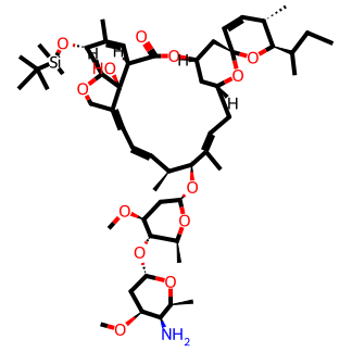 CCC(C)[C@H]1O[C@]2(C=C[C@@H]1C)C[C@@H]1C[C@@H](C/C=C(\C)[C@@H](O[C@H]3C[C@H](OC)[C@@H](O[C@H]4C[C@H](OC)[C@H](N)[C@H](C)O4)[C@H](C)O3)[C@@H](C)/C=C/C=C3\CO[C@@H]4[C@H](O[Si](C)(C)C(C)(C)C)C(C)=C[C@@H](C(=O)O1)[C@]34O)O2